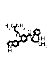 CC(N)CCOc1cc(C(=O)N2CCC(C)Nc3ccccc32)ccc1-c1ccc2[nH]ccc2c1